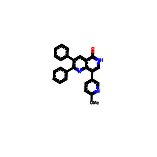 COc1ccc(-c2c[nH]c(=O)c3cc(-c4ccccc4)c(-c4cc[c]cc4)nc23)cn1